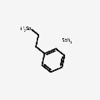 [SbH2][CH2]Cc1ccccc1.[SbH3]